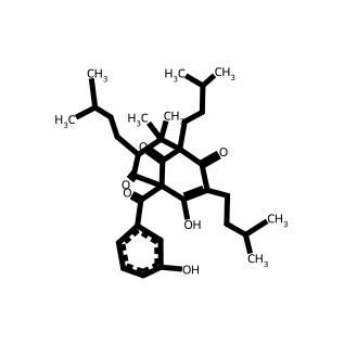 CC(C)CCC1=C(O)C2(C(=O)c3cccc(O)c3)C(=O)C(CCC(C)C)C(C)(C)C(CCC(C)C)(C1=O)C2=O